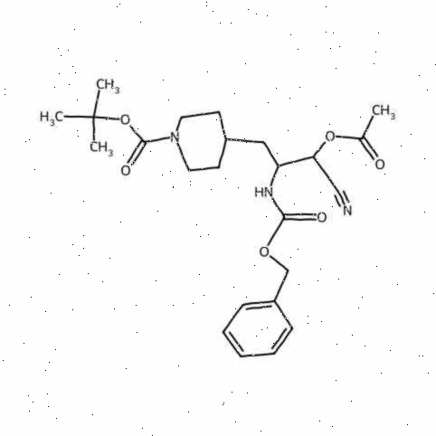 CC(=O)OC(C#N)C(CC1CCN(C(=O)OC(C)(C)C)CC1)NC(=O)OCc1ccccc1